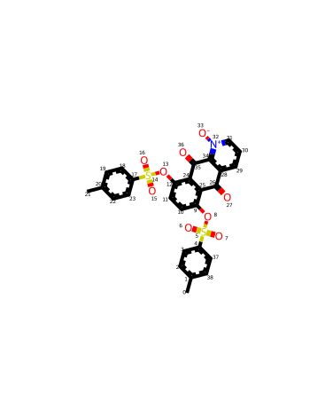 Cc1ccc(S(=O)(=O)Oc2ccc(OS(=O)(=O)c3ccc(C)cc3)c3c2C(=O)c2ccc[n+]([O-])c2C3=O)cc1